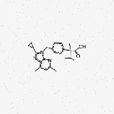 Cc1cc(C)c2nc(C3CC3)n(Cc3ccc(C(C)(C(=O)O)C(C)C)cc3)c2n1